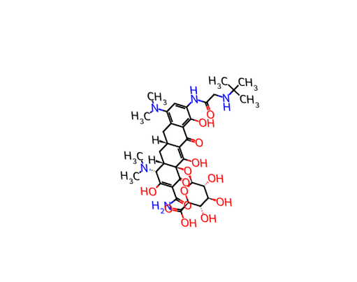 CN(C)c1cc(NC(=O)CNC(C)(C)C)c(O)c2c1C[C@H]1C[C@H]3[C@@H](N(C)C)C(O)=C(C(N)=O)C(=O)[C@@]3(O[C@@H]3O[C@H](C(=O)O)[C@@H](O)[C@H](O)[C@H]3O)C(O)=C1C2=O